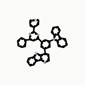 c1ccc(-c2cc(-c3cc(-c4ccnc5c4sc4ccccc45)cc(-n4c5ccccc5c5ccccc54)c3)nc(-c3ccccc3)n2)cc1